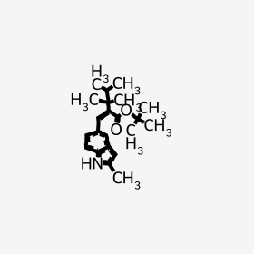 Cc1cc2cc(C=C(C(=O)OC(C)(C)C)C(C)(C)C(C)C)ccc2[nH]1